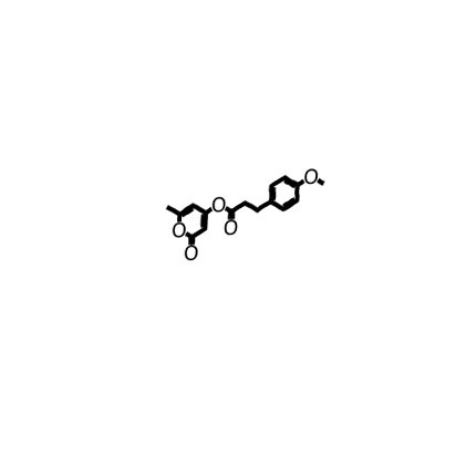 COc1ccc(CCC(=O)Oc2cc(C)oc(=O)c2)cc1